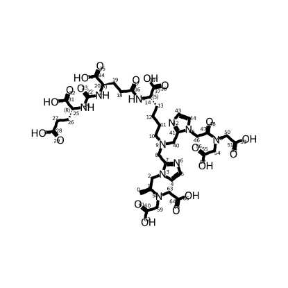 C=C(Cn1ccnc1CN(CCCC[C@H](NC(=O)CC[C@@H](NC(=O)N[C@H](CCC(=O)O)C(=O)O)C(=O)O)C(=O)O)Cc1nccn1CC(=O)N(CC(=O)O)CC(=O)O)N(CC(=O)O)CC(=O)O